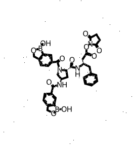 O=C(C[C@H](Cc1ccccc1)NC(=O)[C@@H]1C[C@@H](NC(=O)c2ccc3c(c2)B(O)OC3)CN1C(=O)c1ccc2c(c1)B(O)OC2)ON1C(=O)CCC1=O